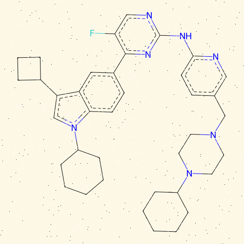 Fc1cnc(Nc2ccc(CN3CCN(C4CCCCC4)CC3)cn2)nc1-c1ccc2c(c1)c(C1CCC1)cn2C1CCCCC1